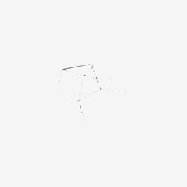 CC1CC2OC1(C)C2(C)C